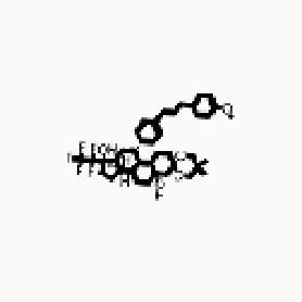 COc1ccc(CC=Cc2ccc([C@H]3C[C@@]4(C)[C@@H](CC[C@@]4(O)C(F)(F)C(F)(F)F)[C@@H]4CC[C@@]5(O)CC6(CCC5=C43)OCC(C)(C)CO6)cc2)cc1